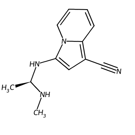 CN[C@@H](C)Nc1cc(C#N)c2ccccn12